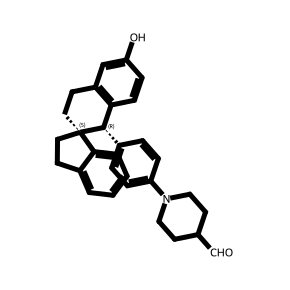 O=CC1CCN(c2ccc([C@H]3c4ccc(O)cc4CC[C@]34CCc3ccccc34)cc2)CC1